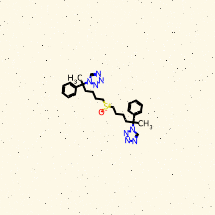 CC(CCCC[S+]([O-])CCCCC(C)(c1ccccc1)n1cnnn1)(c1ccccc1)n1cnnn1